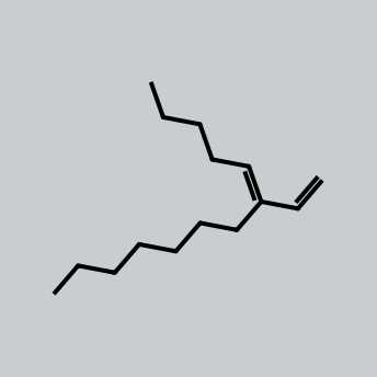 C=CC(=CCCCC)CCCCCCC